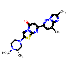 Cc1cn2nc(-c3cc(=O)n4cc(N5CCN(C(=O)O)[C@@H](C)C5)sc4n3)cc(C)c2n1